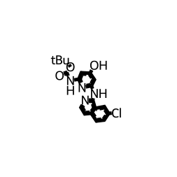 CC(C)(C)OC(=O)Nc1cc(O)cc(Nc2nccc3ccc(Cl)cc23)n1